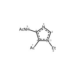 CCn1cnc(NC(C)=O)c1C(C)=O